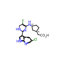 O=C(O)C[C@@H]1CC[C@H](NC2=C(F)CNC(c3c[nH]c4ncc(Cl)cc34)=N2)C1